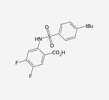 CC(C)(C)c1ccc(S(=O)(=O)Nc2cc(F)c(F)cc2C(=O)O)cc1